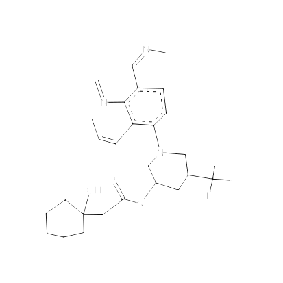 C=Nc1c(/C=N\C)ccc(N2CC(NC(=O)CC3(O)CCCCC3)CC(C(F)(F)F)C2)c1/C=C\C